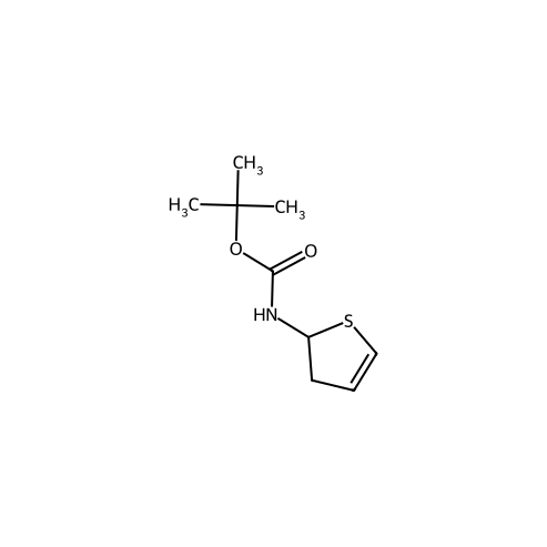 CC(C)(C)OC(=O)NC1CC=CS1